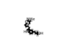 CNC(=O)C(C)CN1CCC[C@@H]1Cc1c[nH]c2ccc(CCC(C)(C)O)cc12